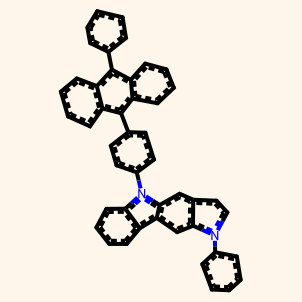 c1ccc(-c2c3ccccc3c(-c3ccc(-n4c5ccccc5c5cc6c(ccn6-c6ccccc6)cc54)cc3)c3ccccc23)cc1